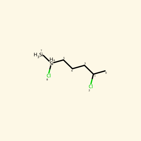 CC(Cl)CCC[SiH]([SiH3])Cl